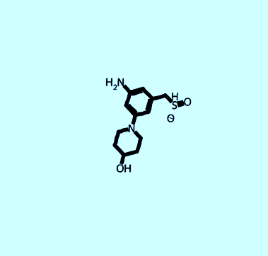 Nc1cc(C[SH](=O)=O)cc(N2CCC(O)CC2)c1